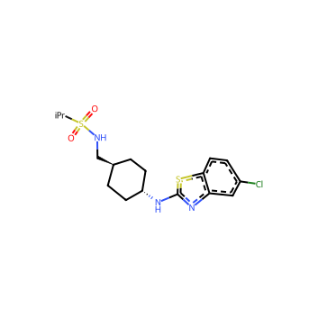 CC(C)S(=O)(=O)NC[C@H]1CC[C@H](Nc2nc3cc(Cl)ccc3s2)CC1